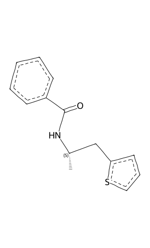 C[C@@H](Cc1cccs1)NC(=O)c1ccccc1